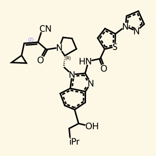 CC(C)CC(O)c1ccc2c(c1)nc(NC(=O)c1ccc(-n3cccn3)s1)n2C[C@H]1CCCN1C(=O)/C(C#N)=C\C1CC1